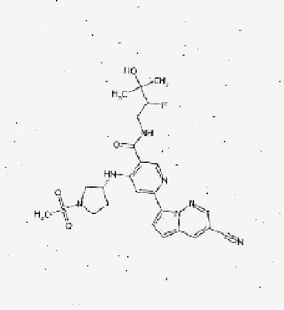 CC(C)(O)C(F)CNC(=O)c1cnc(-c2ccc3cc(C#N)cnn23)cc1N[C@@H]1CCN(S(C)(=O)=O)C1